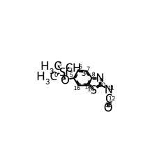 C[Si](C)(C)Oc1ccc2nc(N=C=O)sc2c1